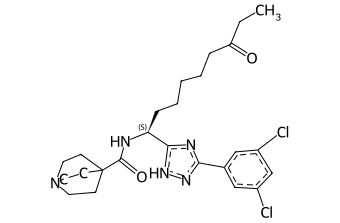 CCC(=O)CCCCC[C@H](NC(=O)C12CCN(CC1)CC2)c1nc(-c2cc(Cl)cc(Cl)c2)n[nH]1